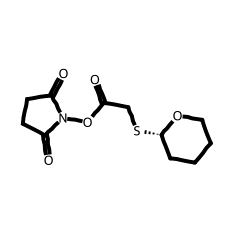 O=C(CS[C@H]1CCCCO1)ON1C(=O)CCC1=O